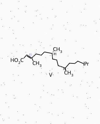 C/C(=C\C(=O)O)CCC[C@H](C)CCC[C@H](C)CCCC(C)C.[V]